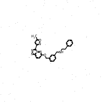 Cc1cc(-c2nnc3ccc(OCc4cccc(CNCCc5ccccc5)c4)nn23)no1